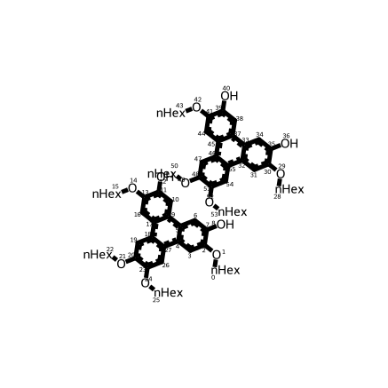 CCCCCCOc1cc2c(cc1O)c1cc(O)c(OCCCCCC)cc1c1cc(OCCCCCC)c(OCCCCCC)cc21.CCCCCCOc1cc2c(cc1O)c1cc(O)c(OCCCCCC)cc1c1cc(OCCCCCC)c(OCCCCCC)cc21